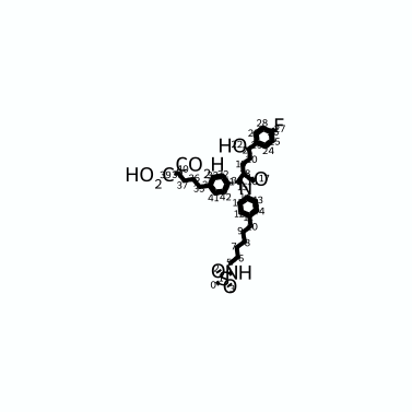 CS(=O)(=O)NCCCCCCc1ccc(N2C(=O)C(CC[C@H](O)c3ccc(F)cc3)[C@H]2c2ccc(CCCC(C(=O)O)C(=O)O)cc2)cc1